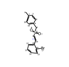 Cc1ccc(CS(=O)(=O)/C=C/c2ccccc2Br)cc1